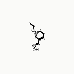 CCON1CCC=C(C=NO)C1